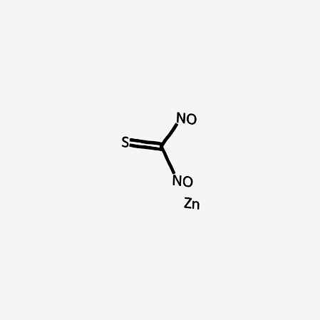 O=NC(=S)N=O.[Zn]